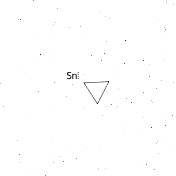 C1CC1.[Sn]